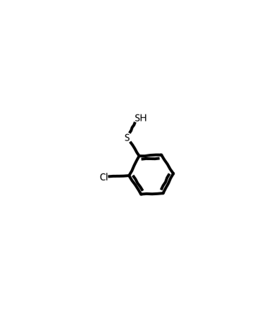 SSc1ccccc1Cl